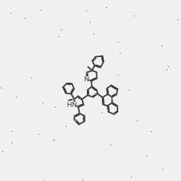 CC1(c2ccccc2)C=NC(c2cc(C3=CC(C)(c4ccccc4)NC(c4ccccc4)=C3)cc(-c3cc4ccccc4c4ccccc34)c2)=CC1